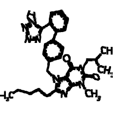 CCCCCc1nc2c(c(=O)n(CC(C)C)c(=O)n2C)n1Cc1ccc(-c2ccccc2-c2nnn[nH]2)cc1